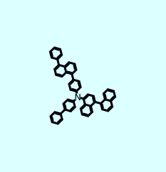 c1ccc(-c2ccc(N(c3ccc(-c4cccc5c(-c6ccccc6)cccc45)cc3)c3ccc(-c4cccc5ccccc45)c4ccccc34)cc2)cc1